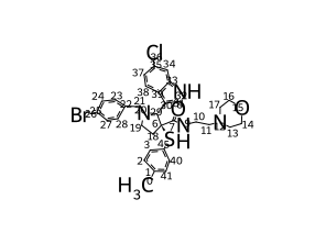 Cc1ccc(S[C@@]2(C(=O)NCCN3CCOCC3)CCN(Cc3ccc(Br)cc3)[C@H]2c2c[nH]c3cc(Cl)ccc23)cc1